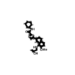 C=C(C#N)CNc1c(OC)ccc2ccc(-c3csc(C(=O)NC4CCCCC4)n3)cc12